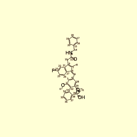 COc1cc(/C=C2/C(C)=C(CC(=O)NCc3ccccc3)c3cc(F)ccc32)cc(OC)c1-c1ccccc1C(=O)O